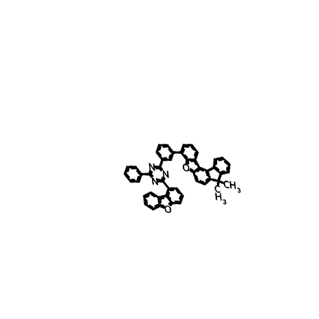 CC1(C)c2ccccc2-c2c1ccc1oc3c(-c4cccc(-c5nc(-c6ccccc6)nc(-c6cccc7oc8ccccc8c67)n5)c4)cccc3c21